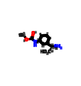 CC(C)(C)OC(=O)Nc1cccc([C@H](N)C(=O)O)c1